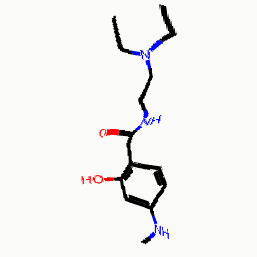 CCN(CC)CCNC(=O)c1ccc(NC)cc1O